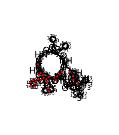 CC(C)(C)OC(=O)NCCCC[C@H]1CN2CCNC(=O)c3ccc(c(OCc4ccccc4)c3OCc3ccccc3)C(=O)NCCN(CCNC(=O)c3ccc(c(OCc4ccccc4)c3OCc3ccccc3)C(=O)N1)CCNC(=O)c1ccc(c(OCc3ccccc3)c1OCc1ccccc1)C(=O)N[C@@H](CCCNC(=O)c1ccc(C(=O)N3CCSC3=S)c(OCc3ccccc3)c1OCc1ccccc1)C2